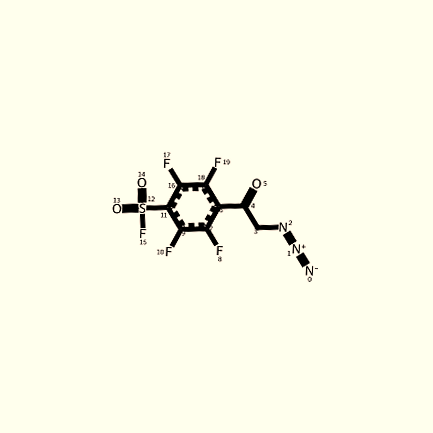 [N-]=[N+]=NCC(=O)c1c(F)c(F)c(S(=O)(=O)F)c(F)c1F